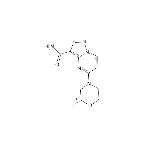 C[C@@H]1CN(c2ccn3ncc(C(N)=O)c3n2)CCO1